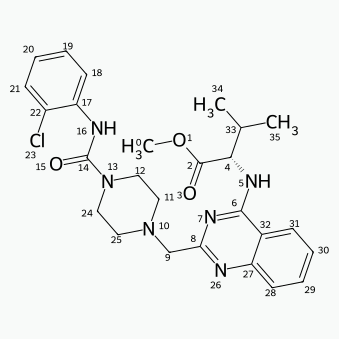 COC(=O)[C@@H](Nc1nc(CN2CCN(C(=O)Nc3ccccc3Cl)CC2)nc2ccccc12)C(C)C